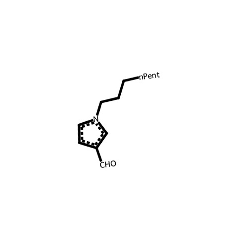 CCCCCCCCn1ccc(C=O)c1